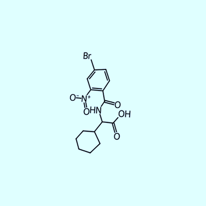 O=C(NC(C(=O)O)C1CCCCC1)c1ccc(Br)cc1[N+](=O)[O-]